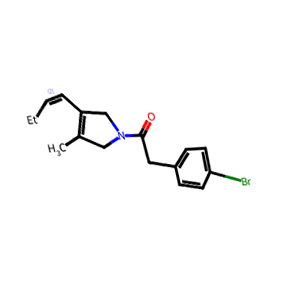 CC/C=C\C1=C(C)CN(C(=O)Cc2ccc(Br)cc2)C1